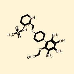 Bc1c(B)c(OCC=O)c([C@H]2CC[C@@H](OC[C@@H]3NCCC[C@@H]3NS(C)(=O)=O)CC2)c(B)c1O